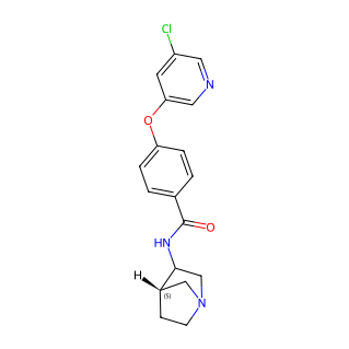 O=C(NC1CN2CC[C@H]1C2)c1ccc(Oc2cncc(Cl)c2)cc1